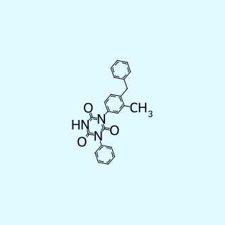 Cc1cc(-n2c(=O)[nH]c(=O)n(-c3ccccc3)c2=O)ccc1Cc1ccccc1